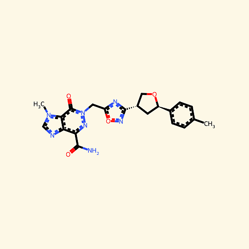 Cc1ccc([C@H]2C[C@H](c3noc(Cn4nc(C(N)=O)c5ncn(C)c5c4=O)n3)CO2)cc1